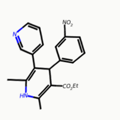 CCOC(=O)C1=C(C)NC(C)=C(c2cccnc2)C1c1cccc([N+](=O)[O-])c1